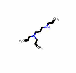 C=CCNCC[CH]N(CC=C)CC=C